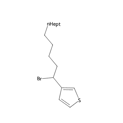 CCCCCCCCCCCC(Br)c1ccsc1